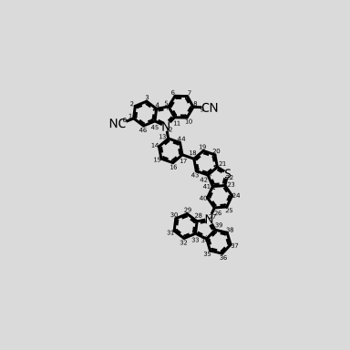 N#Cc1ccc2c3ccc(C#N)cc3n(-c3cccc(-c4ccc5sc6ccc(-n7c8ccccc8c8ccccc87)cc6c5c4)c3)c2c1